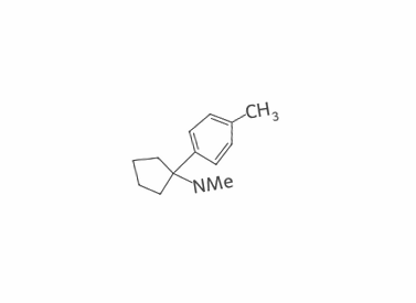 CNC1(c2ccc(C)cc2)CCCC1